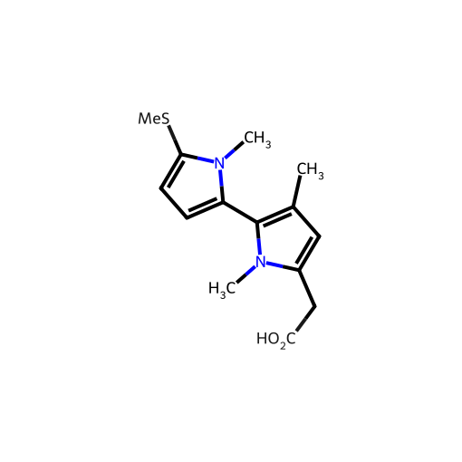 CSc1ccc(-c2c(C)cc(CC(=O)O)n2C)n1C